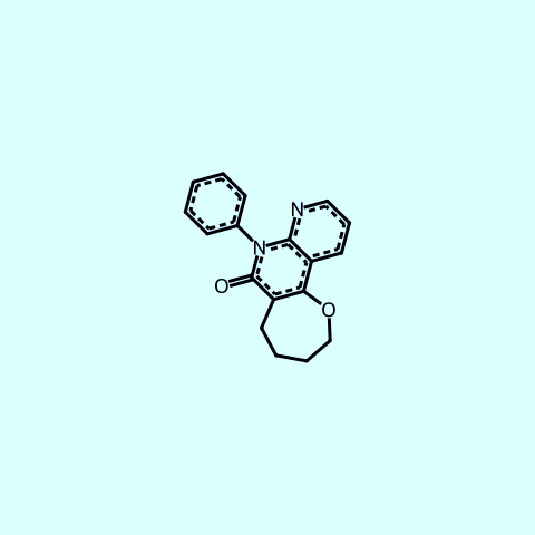 O=c1c2c(c3cccnc3n1-c1ccccc1)OCCCC2